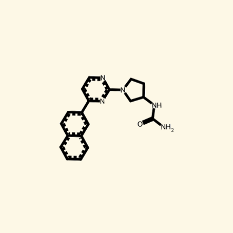 NC(=O)NC1CCN(c2nccc(-c3ccc4ccccc4c3)n2)C1